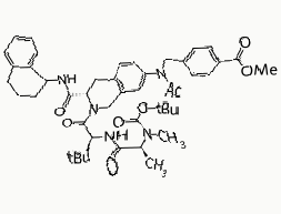 COC(=O)c1ccc(CN(C(C)=O)c2ccc3c(c2)CN(C(=O)[C@@H](NC(=O)[C@H](C)N(C)C(=O)OC(C)(C)C)C(C)(C)C)[C@H](C(=O)NC2CCCc4ccccc42)C3)cc1